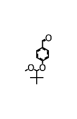 COC(Oc1ccc(C=O)cc1)C(C)(C)C